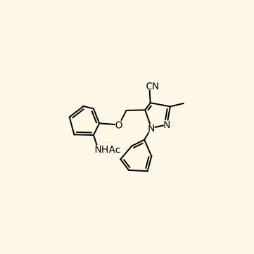 CC(=O)Nc1ccccc1OCc1c(C#N)c(C)nn1-c1ccccc1